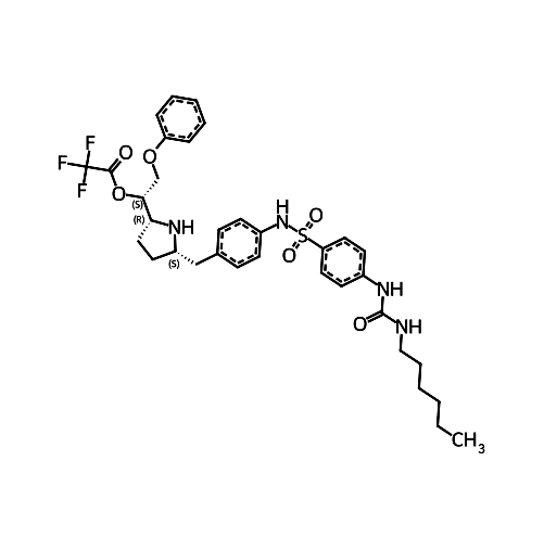 CCCCCCNC(=O)Nc1ccc(S(=O)(=O)Nc2ccc(C[C@@H]3CC[C@H]([C@@H](COc4ccccc4)OC(=O)C(F)(F)F)N3)cc2)cc1